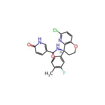 Cc1ccc([C@@]2(NC(=O)c3ccc(=O)[nH]c3)CCOc3ccc(Cl)nc32)cc1F